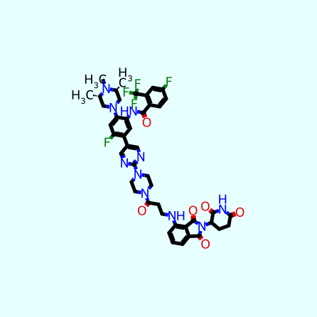 C[C@@H]1CN(c2cc(F)c(-c3cnc(N4CCN(C(=O)CCNc5cccc6c5C(=O)N(C5CCC(=O)NC5=O)C6=O)CC4)nc3)cc2NC(=O)c2ccc(F)cc2C(F)(F)F)C[C@H](C)N1C